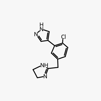 Clc1ccc(CC2=NCCN2)cc1-c1cn[nH]c1